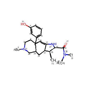 CCCCN1CCC2(c3cccc(O)c3)C=C3NC(C(=O)N(CC)CC)C(C)C3CC2C1